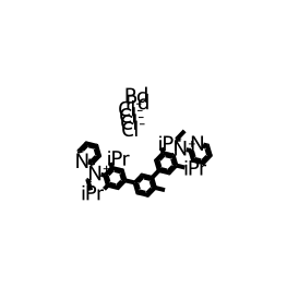 CC=[N+](c1ccccn1)c1c(C(C)C)cc(-c2ccc(C)c(-c3cc(C(C)C)c([N+](=CC)c4ccccn4)c(C(C)C)c3)c2)cc1C(C)C.[Cl-].[Cl-].[Cl-].[Cl-].[Pd].[Pd]